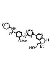 CCC1(CCO)CNc2ncc(-c3ccnc(Nc4ccc(C(=O)NC5CCOCC5)cc4OC)n3)cc21